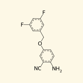 N#Cc1cc(OCc2cc(F)cc(F)c2)ccc1N